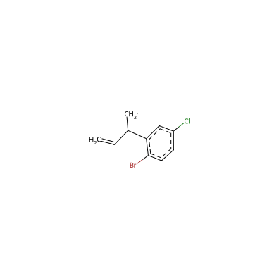 [CH2]C(C=C)c1cc(Cl)ccc1Br